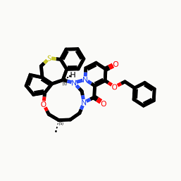 C[C@H]1CCN2CN([C@@H]3c4ccccc4SCc4cccc(c43)OC1)n1ccc(=O)c(OCc3ccccc3)c1C2=O